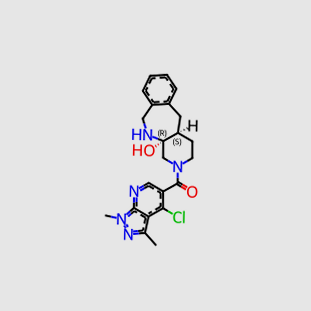 Cc1nn(C)c2ncc(C(=O)N3CC[C@@H]4Cc5ccccc5CN[C@]4(O)C3)c(Cl)c12